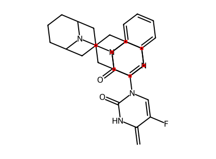 C=C1NC(=O)N(c2nc3ccccc3n(C3CC4CCCC(C3)N4C3CC4CCCC(C4)C3)c2=O)C=C1F